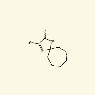 CC(C)C1=NC2(CCCCCC2)NC1=O